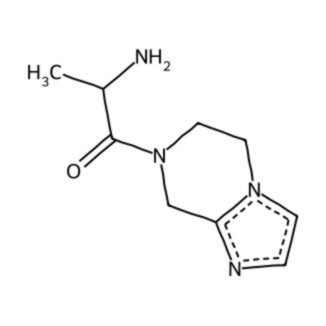 CC(N)C(=O)N1CCn2ccnc2C1